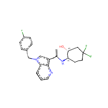 C=C(N[C@@H]1CCC(F)(F)C[C@H]1O)c1cn(Cc2ccc(F)cc2)c2cccnc12